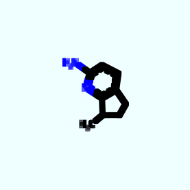 CC1CCc2ccc(N)nc21